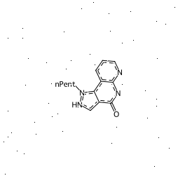 CCCCCn1[nH]cc2c(=O)nc3ncccc3c1-2